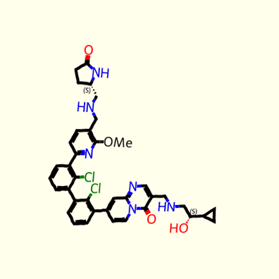 COc1nc(-c2cccc(-c3cccc(-c4ccn5c(=O)c(CNC[C@@H](O)C6CC6)cnc5c4)c3Cl)c2Cl)ccc1CNC[C@@H]1CCC(=O)N1